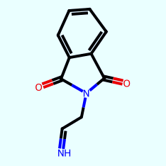 N=CCN1C(=O)c2ccccc2C1=O